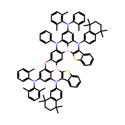 Cc1ccccc1N(c1cc2c3c(c1)N(c1ccc4c(c1)C(C)(C)CCC4(C)C)c1c(sc4ccccc14)B3c1cc3c(cc1O2)N(c1ccccc1)c1cc(N(c2ccccc2C)c2c(C)cccc2C)cc2c1B3c1sc3ccccc3c1N2c1ccc2c(c1)C(C)(C)CCC2(C)C)c1c(C)cccc1C